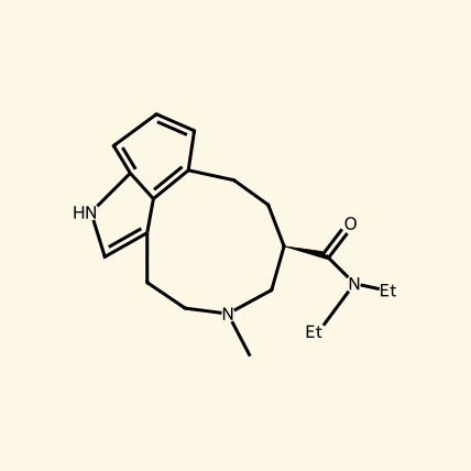 CCN(CC)C(=O)[C@@H]1CCc2cccc3[nH]cc(c23)CCN(C)C1